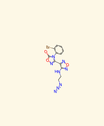 [N-]=[N+]=NCCNc1nonc1-c1noc(=O)n1-c1ccccc1Br